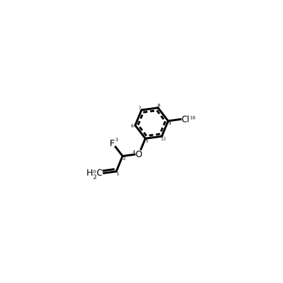 C=CC(F)Oc1cccc(Cl)c1